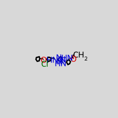 C=CC(=O)Nc1cccc(Nc2ncnc(NCc3ccc(OCc4ccccc4)c(Cl)c3)n2)c1